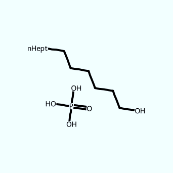 CCCCCCCCCCCCCO.O=P(O)(O)O